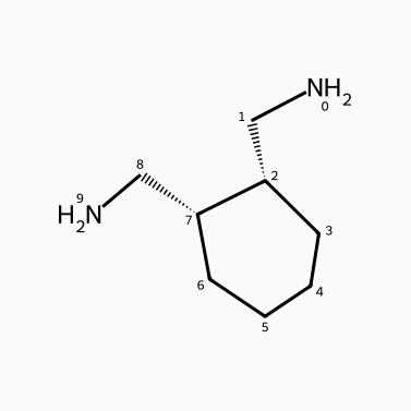 NC[C@@H]1CCCC[C@@H]1CN